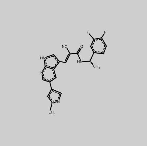 C[C@@H](NC(=O)/C(C#N)=C/c1c[nH]c2ncc(-c3cnn(C)c3)cc12)c1ccc(F)c(F)c1